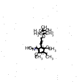 CCc1cc(OC)c(/C=N/O)c(C#CCO[Si](C)(C)C(C)(C)C)c1OC